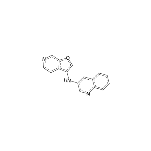 c1ccc2ncc(Nc3coc4cnccc34)cc2c1